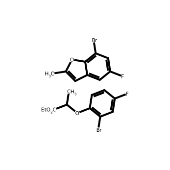 CCOC(=O)C(C)Oc1ccc(F)cc1Br.Cc1cc2cc(F)cc(Br)c2o1